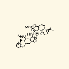 COc1ccc2c(c1S(=O)(=O)Nc1noc3cc(Cn4cccn4)c(F)c(OC)c13)OCCN2C(C)=O